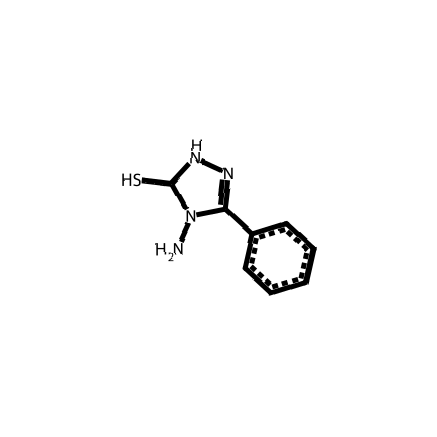 NN1C(c2ccccc2)=NNC1S